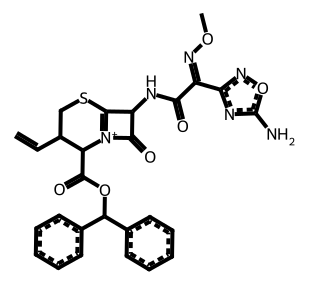 C=CC1CSC2=[N+](C(=O)C2NC(=O)C(=NOC)c2noc(N)n2)C1C(=O)OC(c1ccccc1)c1ccccc1